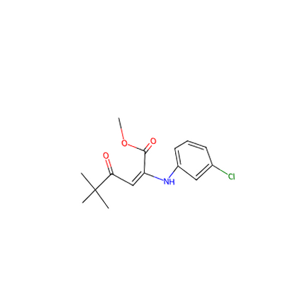 COC(=O)C(=CC(=O)C(C)(C)C)Nc1cccc(Cl)c1